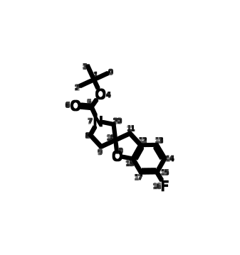 CC(C)(C)OC(=O)N1CCC2(Cc3ccc(F)cc3O2)C1